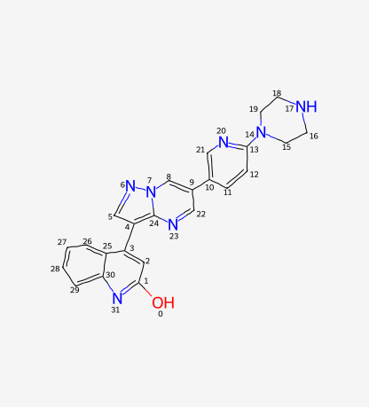 Oc1cc(-c2cnn3cc(-c4ccc(N5CCNCC5)nc4)cnc23)c2ccccc2n1